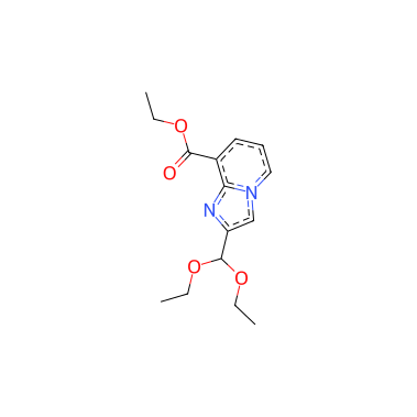 CCOC(=O)c1cccn2cc(C(OCC)OCC)nc12